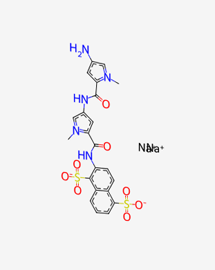 Cn1cc(N)cc1C(=O)Nc1cc(C(=O)Nc2ccc3c(S(=O)(=O)[O-])cccc3c2S(=O)(=O)[O-])n(C)c1.[Na+].[Na+]